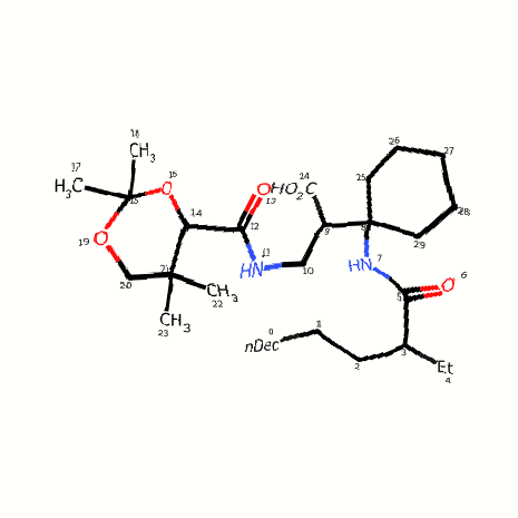 CCCCCCCCCCCCC(CC)C(=O)NC1(C(CNC(=O)C2OC(C)(C)OCC2(C)C)C(=O)O)CCCCC1